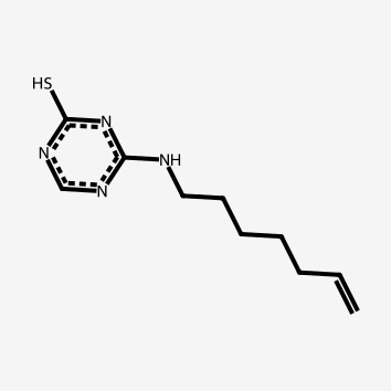 C=CCCCCCNc1ncnc(S)n1